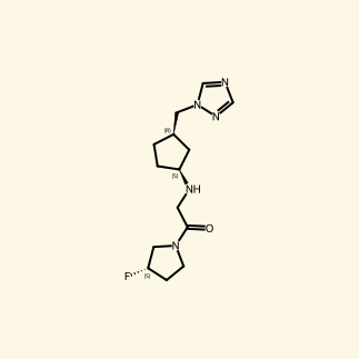 O=C(CN[C@H]1CC[C@@H](Cn2cncn2)C1)N1CC[C@H](F)C1